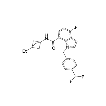 CCC12CC(NC(=O)c3ccc(F)c4ccn(Cc5ccc(C(F)F)cc5)c34)(C1)C2